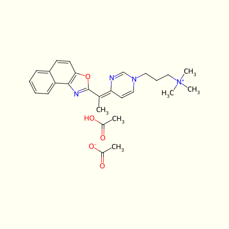 CC(=C1C=CN(CCC[N+](C)(C)C)C=N1)c1nc2c(ccc3ccccc32)o1.CC(=O)O.CC(=O)[O-]